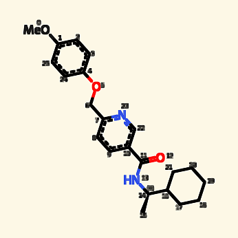 COc1ccc(OCc2ccc(C(=O)N[C@H](C)C3CCCCC3)cn2)cc1